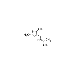 Cc1cc(CNC(C)C)c(C)o1